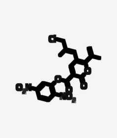 C=C(C)c1oc(=O)c(C(=O)Oc2cc([N+](=O)[O-])ccc2[N+](=O)[O-])cc1/C=C(\C)CCl